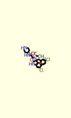 CC(C)N(CC(=O)NC1CCNCC1)C1(Cc2cccc(Cl)c2)C(=O)Nc2cc(Cl)ccc21